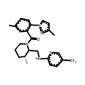 Cc1ccc(-n2ccc(C)n2)c(C(=O)N2CCC[C@@H](C)C2CNc2ccc(C(F)(F)F)cn2)c1